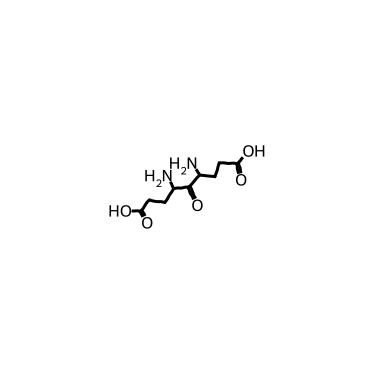 NC(CCC(=O)O)C(=O)C(N)CCC(=O)O